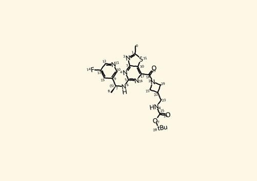 Cc1nc2nc(N[C@@H](C)c3cncc(F)c3)nc(C(=O)N3CC(CNC(=O)OC(C)(C)C)C3)c2s1